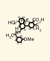 COc1cccc([C@@H](C)NCc2cc(-c3ccc(C)c(C(=O)O)c3C)c3ccccc3c2)c1.Cl